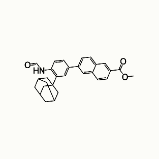 COC(=O)c1ccc2cc(-c3ccc(NC=O)c(C45CC6CC(CC(C6)C4)C5)c3)ccc2c1